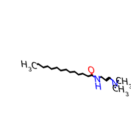 CCCCCCCCCCCCCC(=O)NCC=CN(C)C